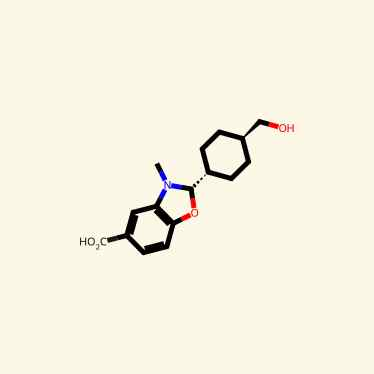 CN1c2cc(C(=O)O)ccc2OC1[C@H]1CC[C@H](CO)CC1